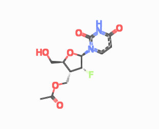 CC(=O)OC[C@H]1[C@@H](F)[C@H](n2ccc(=O)[nH]c2=O)O[C@@H]1CO